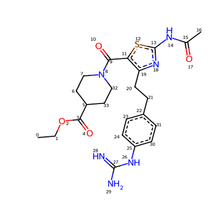 CCOC(=O)C1CCN(C(=O)c2sc(NC(C)=O)nc2CCc2ccc(NC(=N)N)cc2)CC1